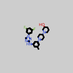 Cc1cc(Nc2ncn(-c3cc(F)cc(F)c3)n2)cc(N2CCC(N3CCCC(O)C3)CC2)c1